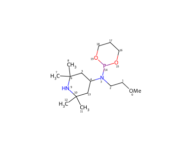 COCCN(C1CC(C)(C)NC(C)(C)C1)P1OCCCO1